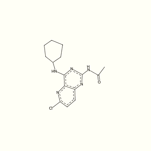 CC(=O)Nc1nc(NC2CCCCC2)c2nc(Cl)ccc2n1